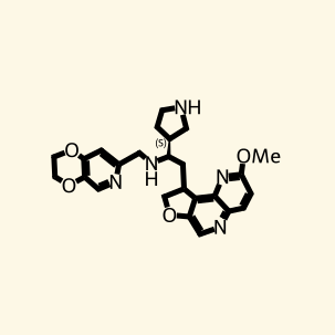 COc1ccc2ncc3c(c2n1)C(CC(NCc1cc2c(cn1)OCCO2)[C@H]1CCNC1)CO3